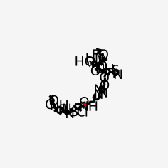 Cc1ncsc1-c1ccc(CNC(=O)[C@@H]2C[C@@H](O)CN2C(=O)[C@@H](NC(=O)C2(F)CC2)C(C)(C)C)c(OCCOc2cnc(N3CCC(CCCC(=O)Nc4cccc(Sc5cnc(N6CCC(C)(CNC(=O)OC(C)(C)C)CC6)cn5)c4Cl)CC3)nc2)c1